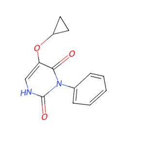 O=c1[nH]cc(OC2CC2)c(=O)n1-c1ccccc1